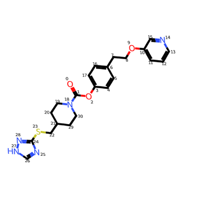 O=C(Oc1ccc(CCOc2cccnc2)cc1)N1CCC(CSc2nc[nH]n2)CC1